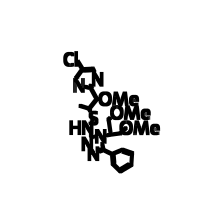 COCC(COC)n1c(NSC(C)C(OC)c2ncc(Cl)cn2)nnc1-c1ccccc1